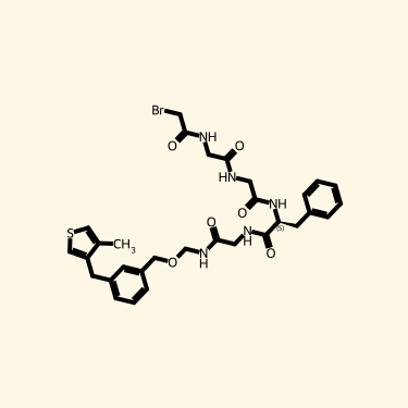 Cc1cscc1Cc1cccc(COCNC(=O)CNC(=O)[C@H](Cc2ccccc2)NC(=O)CNC(=O)CNC(=O)CBr)c1